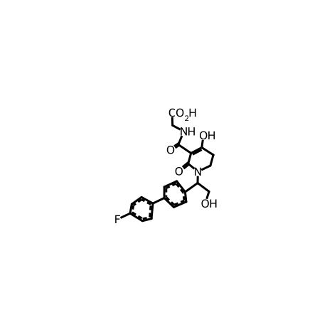 O=C(O)CNC(=O)C1=C(O)CCN(C(CO)c2ccc(-c3ccc(F)cc3)cc2)C1=O